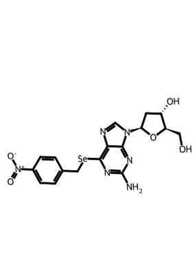 Nc1nc([Se]Cc2ccc([N+](=O)[O-])cc2)c2ncn([C@H]3C[C@H](O)[C@@H](CO)O3)c2n1